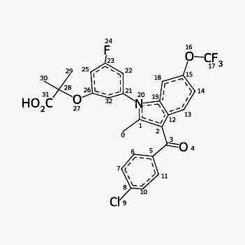 Cc1c(C(=O)c2ccc(Cl)cc2)c2ccc(OC(F)(F)F)cc2n1-c1cc(F)cc(OC(C)(C)C(=O)O)c1